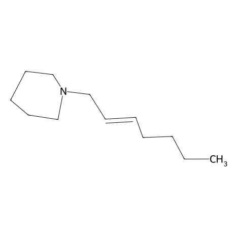 CCCCC=CCN1CCCCC1